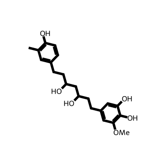 COc1cc(CCC(O)CC(O)CCc2ccc(O)c(C)c2)cc(O)c1O